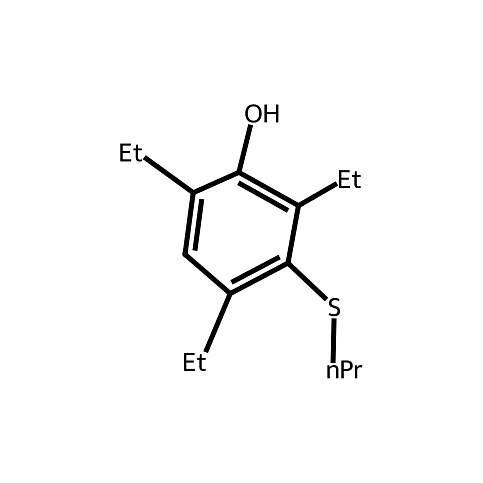 CCCSc1c(CC)cc(CC)c(O)c1CC